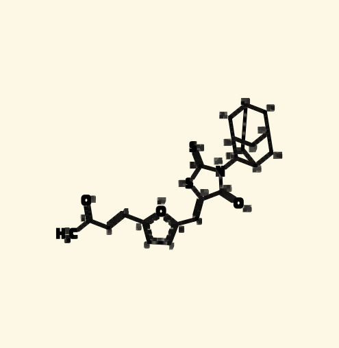 CC(=O)/C=C/c1ccc(/C=C2\SC(=S)N(C3C4CC5CC(C4)CC3C5)C2=O)o1